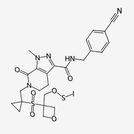 Cn1nc(C(=O)NCc2ccc(C#N)cc2)c2c1C(=O)N(CC1(S(=O)(=O)C3(COSI)COC3)CC1)CC2